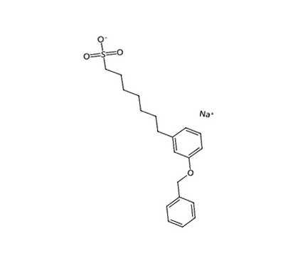 O=S(=O)([O-])CCCCCCCc1cccc(OCc2ccccc2)c1.[Na+]